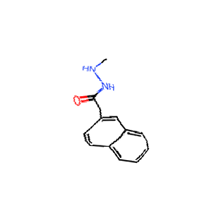 CNNC(=O)c1ccc2ccccc2c1